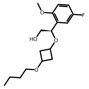 CCCCOC1CC(O[C@@H](CO)c2cc(F)ccc2OC)C1